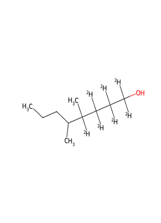 [2H]C([2H])(O)C([2H])([2H])C([2H])([2H])C([2H])(C)C(C)CCC